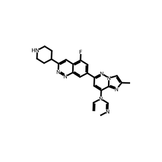 C=CN(/C=N\C)c1cc(-c2cc(F)c3cc(C4CCNCC4)nnc3c2)nn2cc(C)nc12